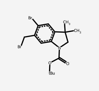 CC(C)(C)OC(=O)N1CC(C)(C)c2cc(Br)c(CBr)cc21